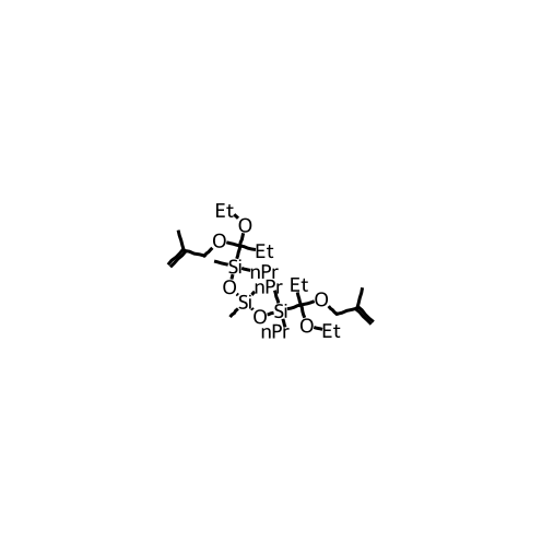 C=C(C)COC(CC)(OCC)[Si](C)(CCC)O[Si](C)(CCC)O[Si](C)(CCC)C(CC)(OCC)OCC(=C)C